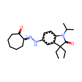 CCC1(CC)C(=O)N(C(C)C)c2ccc(N/N=C3\CCCCCC3=O)cc21